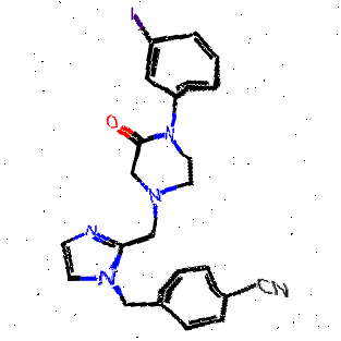 N#Cc1ccc(Cn2ccnc2CN2CCN(c3cccc(I)c3)C(=O)C2)cc1